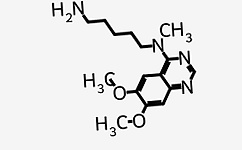 COc1cc2ncnc(N(C)CCCCCN)c2cc1OC